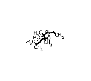 C=CB1OC(C)(C)C(C)(CCC(C)C)O1